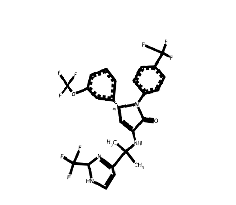 CC(C)(NC1=C[C@H](c2cccc(OC(F)(F)F)c2)N(c2ccc(C(F)(F)F)cc2)C1=O)C1=NC(C(F)(F)F)NC=C1